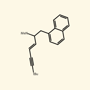 CNC(C=CC#CC(C)(C)C)Cc1cccc2ccccc12